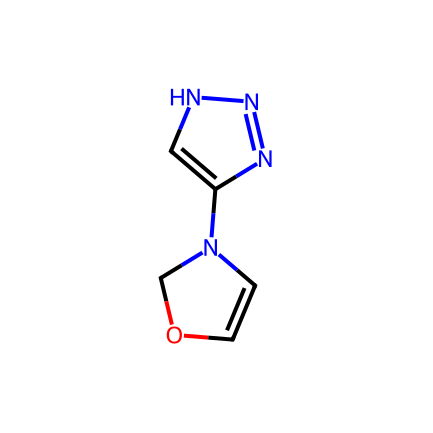 C1=CN(c2c[nH]nn2)CO1